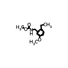 CCc1ccc(OC)cc1CNC(=O)OC